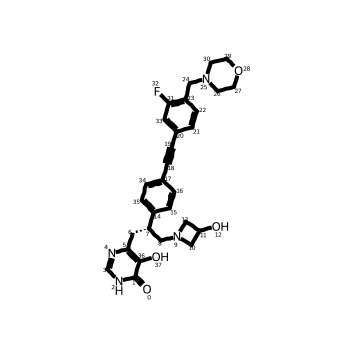 O=c1[nH]cnc(C[C@@H](CN2CC(O)C2)c2ccc(C#Cc3ccc(CN4CCOCC4)c(F)c3)cc2)c1O